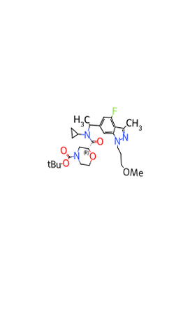 COCCCn1nc(C)c2c(F)cc(C(C)N(C(=O)[C@H]3CN(C(=O)OC(C)(C)C)CCO3)C3CC3)cc21